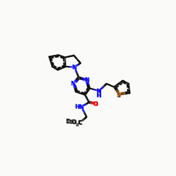 CCOC(=O)CNC(=O)c1cnc(N2CCc3ccccc32)nc1NCc1cccs1